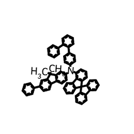 CC1(C)c2cc(-c3ccccc3)ccc2-c2ccc(N(c3ccc(-c4ccccc4-c4ccccc4)cc3)c3cccc4c3-c3ccccc3C43c4ccccc4-c4ccccc43)cc21